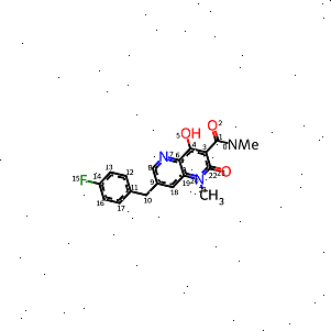 CNC(=O)c1c(O)c2ncc(Cc3ccc(F)cc3)cc2n(C)c1=O